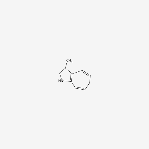 CC1CNC2=C1C=CCC=C2